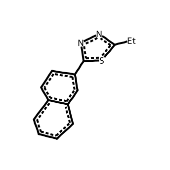 CCc1nnc(-c2ccc3ccccc3c2)s1